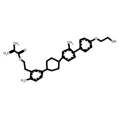 C=C(C)C(=O)OCCc1cc(C2CCC(c3ccc(-c4ccc(OCCO)cc4)c(C)c3)CC2)ccc1C